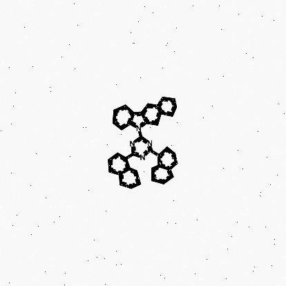 c1ccc2cc3c(cc2c1)c1ccccc1n3-c1nc(-c2cccc3ccccc23)nc(-c2cccc3ccccc23)n1